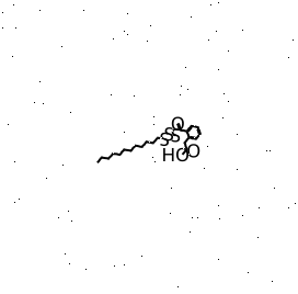 CCCCCCCCCCCCSSSC(=O)c1ccccc1CC(=O)O